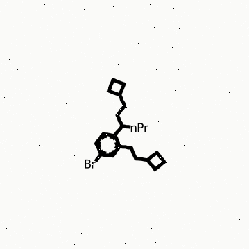 CCCC(CCC1CCC1)c1ccc(Br)cc1CCC1CCC1